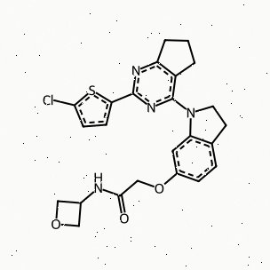 O=C(COc1ccc2c(c1)N(c1nc(-c3ccc(Cl)s3)nc3c1CCC3)CC2)NC1COC1